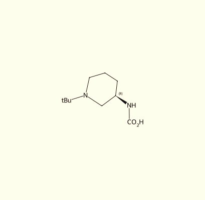 CC(C)(C)N1CCC[C@@H](NC(=O)O)C1